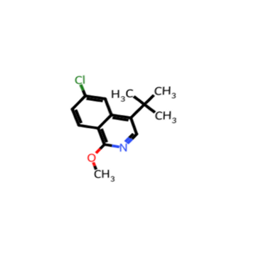 COc1ncc(C(C)(C)C)c2cc(Cl)ccc12